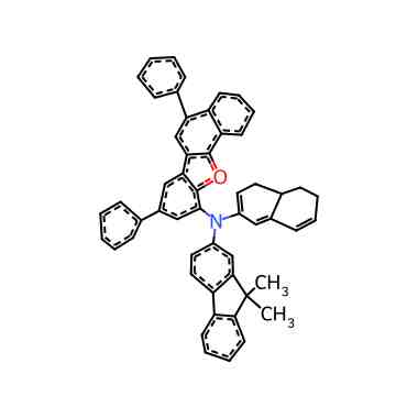 CC1(C)c2ccccc2-c2ccc(N(C3=CCC4CCC=CC4=C3)c3cc(-c4ccccc4)cc4c3oc3c5ccccc5c(-c5ccccc5)cc43)cc21